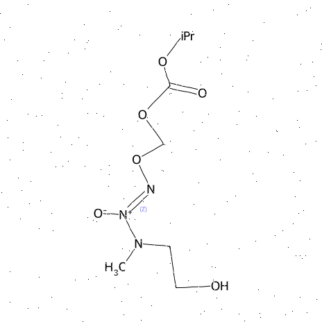 CC(C)OC(=O)OCO/N=[N+](\[O-])N(C)CCO